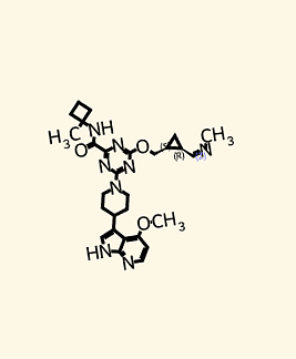 C/N=C\[C@@H]1C[C@@H]1COc1nc(C(=O)NC2(C)CCC2)nc(N2CCC(c3c[nH]c4nccc(OC)c34)CC2)n1